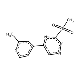 Cc1cc(-c2cnnc(S(C)(=O)=O)n2)ccn1